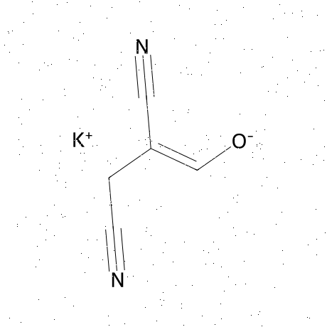 N#CCC(C#N)=C[O-].[K+]